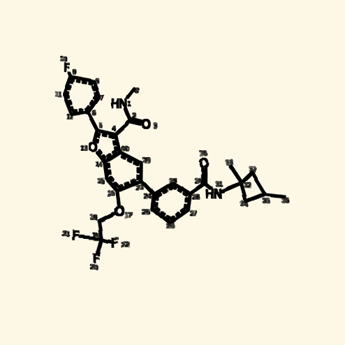 CNC(=O)c1c(-c2ccc(F)cc2)oc2cc(OCC(F)(F)F)c(-c3cccc(C(=O)NC4(C)CC(C)C4)c3)cc12